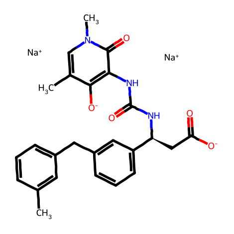 Cc1cccc(Cc2cccc([C@H](CC(=O)[O-])NC(=O)Nc3c([O-])c(C)cn(C)c3=O)c2)c1.[Na+].[Na+]